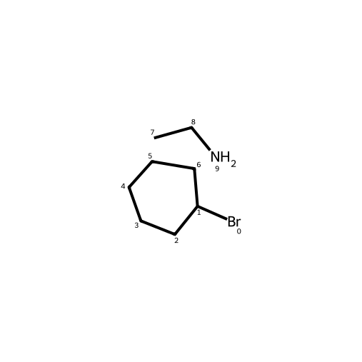 BrC1CCCCC1.CCN